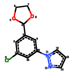 Clc1cc(C2OCCO2)cc(-n2cccn2)c1